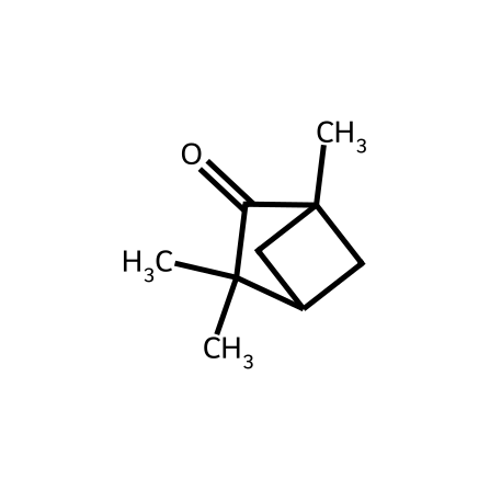 CC12CC(C1)C(C)(C)C2=O